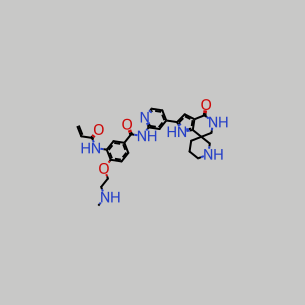 C=CC(=O)Nc1cc(C(=O)Nc2cc(-c3cc4c([nH]3)C3(CCCNC3)CNC4=O)ccn2)ccc1OCCNC